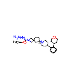 C#CO/C(=N\N)N1CC2(CC[C@@H](N3CCC(c4ccccc4C4CCOCC4)CC3)C2)C1